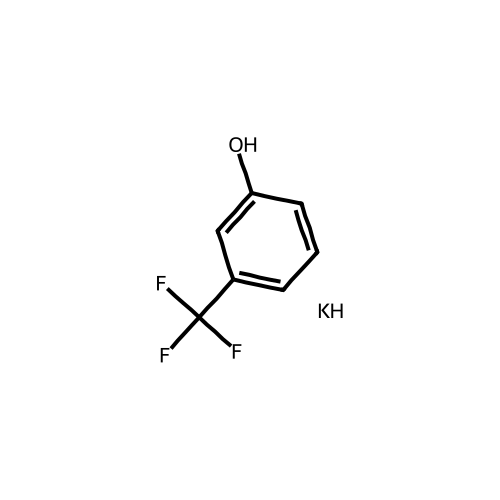 Oc1cccc(C(F)(F)F)c1.[KH]